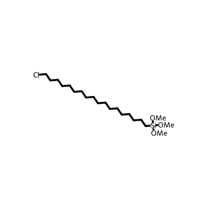 CO[Si](CCCCCCCCCCCCCCCCCCCl)(OC)OC